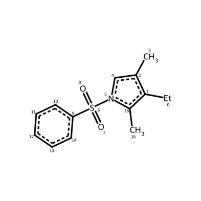 CCc1c(C)cn(S(=O)(=O)c2ccccc2)c1C